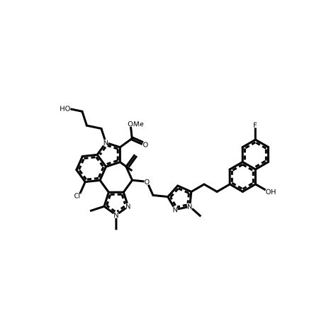 C=CC(OCc1cc(CCc2cc(O)c3ccc(F)cc3c2)n(C)n1)c1nn(C)c(C)c1-c1c(Cl)ccc2c1c(C)c(C(=O)OC)n2CCCO